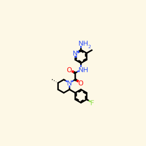 Cc1cc(NC(=O)C(=O)N2C[C@@H](C)CCC2c2ccc(F)cc2)cnc1N